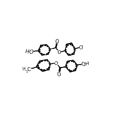 Cc1ccc(OC(=O)c2ccc(O)cc2)cc1.O=C(Oc1ccc(Cl)cc1)c1ccc(O)cc1